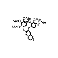 COc1ccc(Cc2cc3ccncc3cc2Cc2ccc(OC)c(OC)c2OC)c(OC)c1OC.Cl